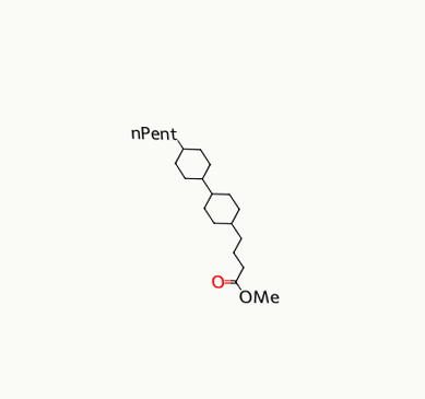 CCCCCC1CCC(C2CCC(CCCC(=O)OC)CC2)CC1